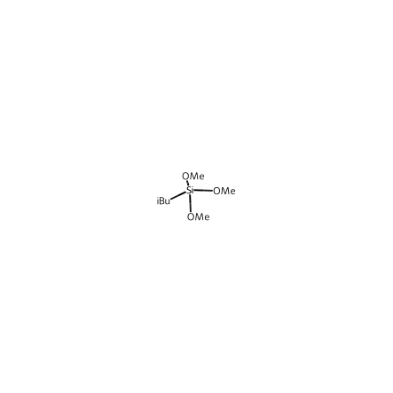 CCC(C)[Si](OC)(OC)OC